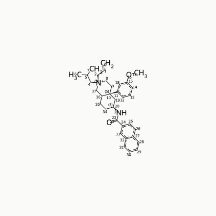 C=CC[N@@+]1(CC(C)C)CC[C@]2(c3cccc(OC)c3)C[C@@H](NC(=O)c3ccc4ccccc4c3)CCC2C1